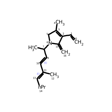 C=CC1=C(C)CN(C(C)/C=C/C(C)=C/CCC)C1=C